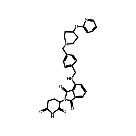 O=C1CCC(N2C(=O)c3cccc(NCc4ccc(CN5CCC(Oc6ccccn6)CC5)cc4)c3C2=O)C(=O)N1